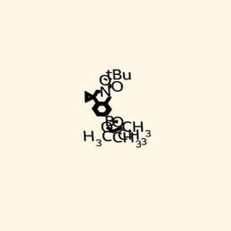 CC(C)(C)OC(=O)N1Cc2cc(B3OC(C)(C)C(C)(C)O3)ccc2C2(CC2)C1